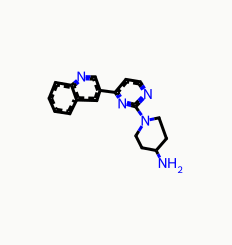 NC1CCN(c2nccc(-c3cnc4ccccc4c3)n2)CC1